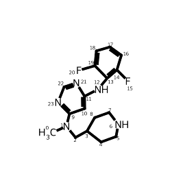 CN(CC1CCNCC1)c1cc(Nc2c(F)cccc2F)ncn1